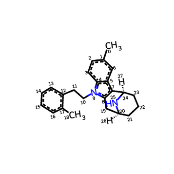 Cc1ccc2c(c1)c1c(n2CCc2ccccc2C)C[C@@H]2CCC[C@H]1N2